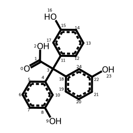 O=C(O)C(c1cccc(O)c1)(c1cccc(O)c1)c1cccc(O)c1